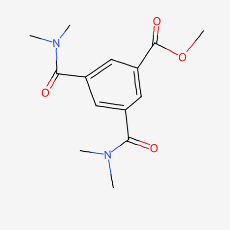 COC(=O)c1cc(C(=O)N(C)C)cc(C(=O)N(C)C)c1